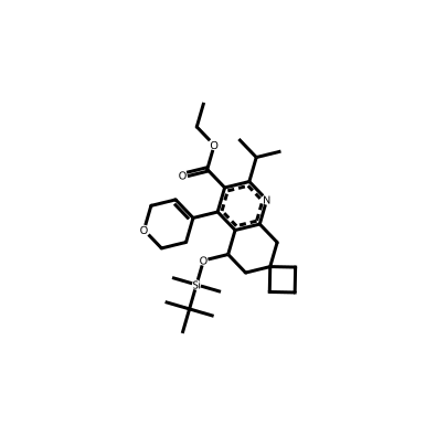 CCOC(=O)c1c(C(C)C)nc2c(c1C1=CCOCC1)C(O[Si](C)(C)C(C)(C)C)CC1(CCC1)C2